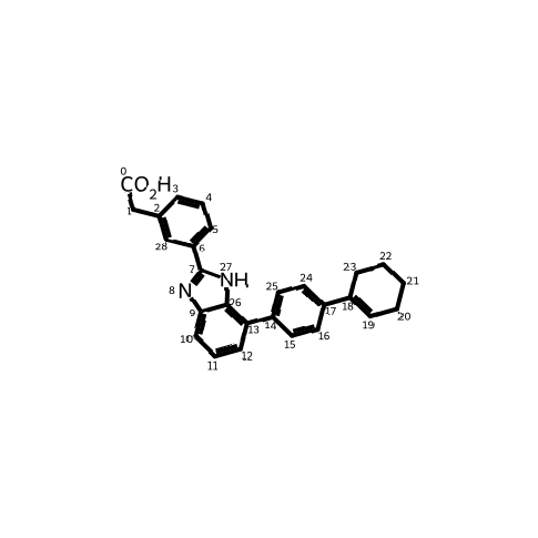 O=C(O)Cc1cccc(-c2nc3cccc(-c4ccc(C5=CCCCC5)cc4)c3[nH]2)c1